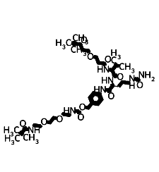 CC(C)C(NC(=O)CCOCCC(=O)C(C)(C)C)C(=O)N[C@H](CCCNC(N)=O)C(=O)Nc1ccc(COC(=O)NCCOCCOCCNC(=O)C(C)(C)C)cc1